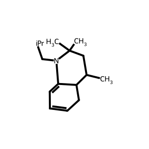 CC(C)CN1C2=CC=CCC2C(C)CC1(C)C